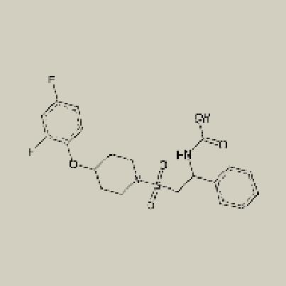 O=C(O)NC(CS(=O)(=O)N1CCC(Oc2ccc(F)cc2F)CC1)c1ccccc1